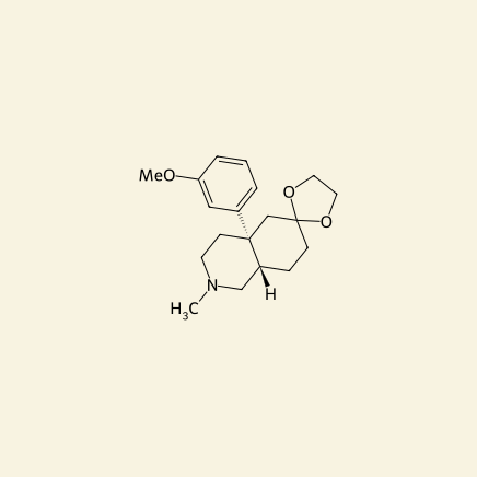 COc1cccc([C@@]23CCN(C)C[C@H]2CCC2(C3)OCCO2)c1